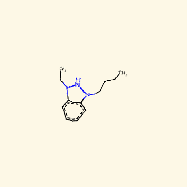 CCCCN1NN(CC)c2ccccc21